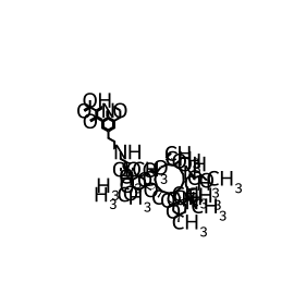 CC[C@H]1OC(=O)[C@H](C)[C@@H](O[C@H]2C[C@@](C)(OC)[C@@H](OS(=O)(=O)CCNCCCc3cc4c5c(c3)c(=O)c(C(=O)O)cn5COC4)[C@H](C)O2)[C@H](C)[C@@H](O[C@@H]2O[C@H](C)C[C@H](N(C)C)[C@H]2O)[C@](C)(O)C[C@@H](C)/C(=N\OCOC)[C@@H](O)[C@]1(C)O